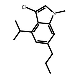 CCCc1cc(C(C)C)c2c(Cl)cn(C)c2c1